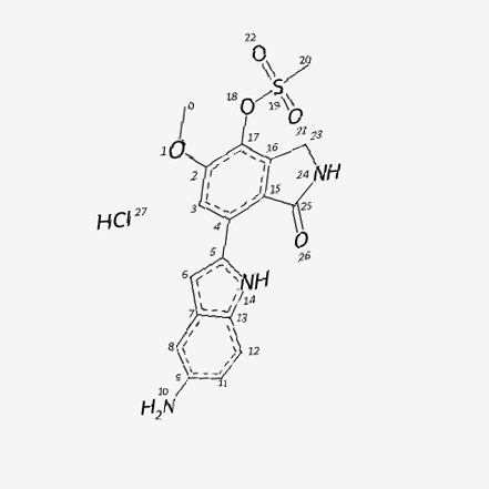 COc1cc(-c2cc3cc(N)ccc3[nH]2)c2c(c1OS(C)(=O)=O)CNC2=O.Cl